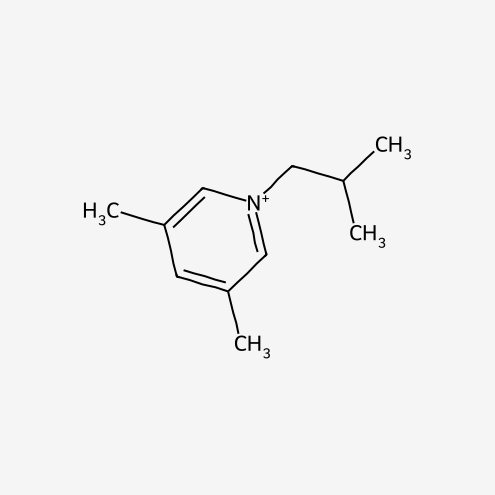 Cc1cc(C)c[n+](CC(C)C)c1